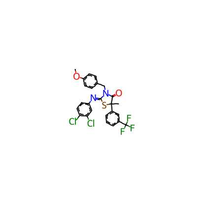 COc1ccc(CN2C(=O)C(C)(c3cccc(C(F)(F)F)c3)SC2=Nc2ccc(Cl)c(Cl)c2)cc1